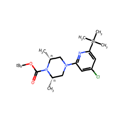 C[C@@H]1CN(c2cc(Cl)c[c]([Sn]([CH3])([CH3])[CH3])n2)C[C@H](C)N1C(=O)OC(C)(C)C